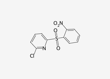 O=[N+]([O-])c1ccccc1S(=O)(=O)c1cccc(Cl)n1